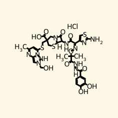 CC1=NC2=CN(CO)NN2C(SCC2(C(=O)O)CS[C@@H]3C(NC(=O)C(=NOC(C)(C)C(=O)NNC(=O)c4ccc(O)c(O)c4)c4csc(N)n4)C(=O)N3C2)=C1.Cl